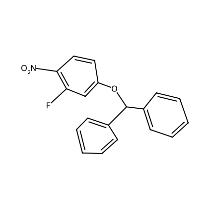 O=[N+]([O-])c1ccc(OC(c2ccccc2)c2ccccc2)cc1F